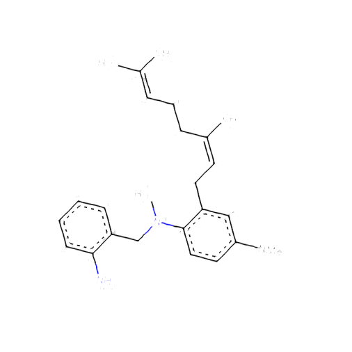 CNc1ccc(N(C)Cc2ccccc2N)c(CC=C(C)CCC=C(C)C)c1